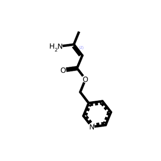 C/C(N)=C/C(=O)OCc1cccnc1